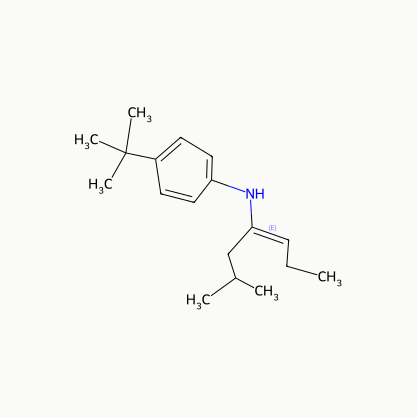 CC/C=C(\CC(C)C)Nc1ccc(C(C)(C)C)cc1